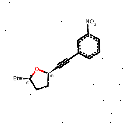 CC[C@@H]1CC[C@H](C#Cc2cccc([N+](=O)[O-])c2)O1